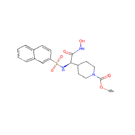 CC(C)(C)OC(=O)N1CCC([C@@H](NS(=O)(=O)c2ccc3ccccc3c2)C(=O)NO)CC1